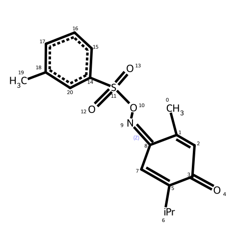 CC1=CC(=O)C(C(C)C)=C/C1=N/OS(=O)(=O)c1cccc(C)c1